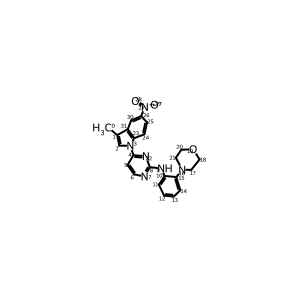 Cc1cn(-c2ccnc(Nc3ccccc3N3CCOCC3)n2)c2ccc([N+](=O)[O-])cc12